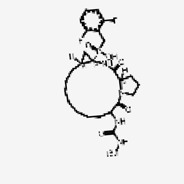 CC(C)(C)NC(=O)NC1CCCCCCC[C@@H]2C[C@@]2(P(=O)(O)Cc2c(F)cccc2F)NC(=O)[C@@H]2CCCN2C1=O